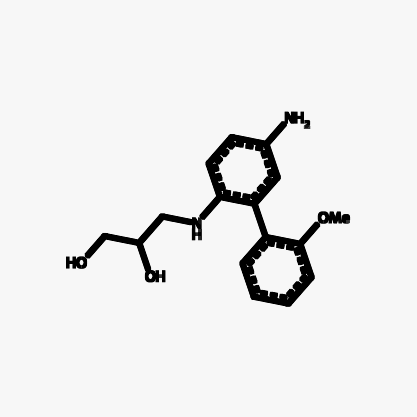 COc1ccccc1-c1cc(N)ccc1NCC(O)CO